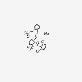 Cc1cccc(/C=C/Cc2ccccc2/C=C/C(=O)[O-])c1OCc1c(Cl)cccc1Cl.[Na+]